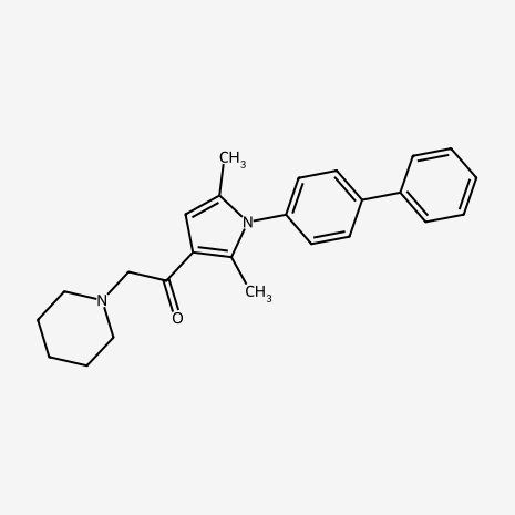 Cc1cc(C(=O)CN2CCCCC2)c(C)n1-c1ccc(-c2ccccc2)cc1